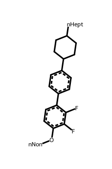 CCCCCCCCCOc1ccc(-c2ccc(C3CCC(CCCCCCC)CC3)cc2)c(F)c1F